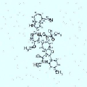 CNC(=O)c1c(-c2ccc(C)cc2)oc2cc(N(C)S(C)(=O)=O)c(-c3cc(-c4cc5c(C#N)cccc5[nH]4)nnc3OC)cc12